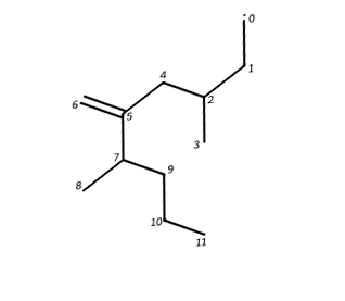 [CH2]CC(C)CC(=C)C(C)CCC